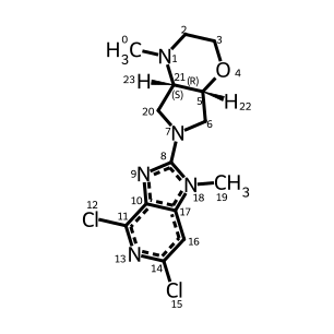 CN1CCO[C@@H]2CN(c3nc4c(Cl)nc(Cl)cc4n3C)C[C@@H]21